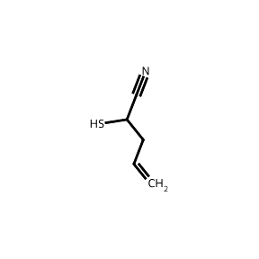 C=CCC(S)C#N